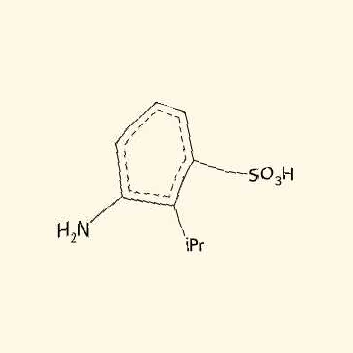 CC(C)c1c(N)cccc1S(=O)(=O)O